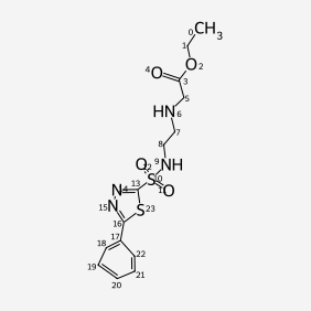 CCOC(=O)CNCCNS(=O)(=O)c1nnc(-c2ccccc2)s1